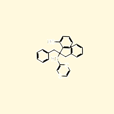 Oc1ccccc1C(Cc1ccccc1)(Cc1ccccc1)NC1=COC=CO1